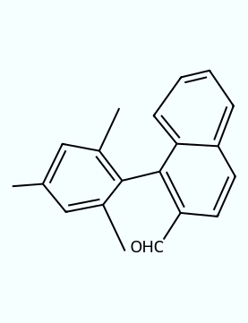 Cc1cc(C)c(-c2c(C=O)ccc3ccccc23)c(C)c1